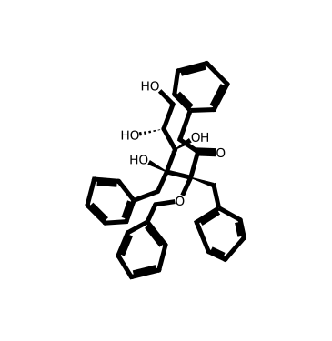 O=C(Cc1ccccc1)[C@](Cc1ccccc1)(OCc1ccccc1)[C@](O)(Cc1ccccc1)[C@H](O)[C@H](O)CO